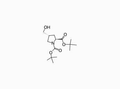 CC(C)(C)OC(=O)[C@@H]1C[C@@H](CO)CN1C(=O)OC(C)(C)C